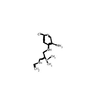 C=CN/C=C(/CNc1cc(Cl)ncc1N)N(C)C